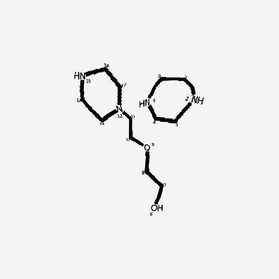 C1CNCCN1.OCCOCCN1CCNCC1